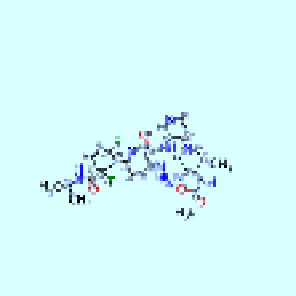 COC(=O)N[C@@H]1[C@H](N)CN(c2ccncc2NC(=O)c2nc(-c3c(F)ccc(C(=O)NC(C)C)c3F)ccc2N)C[C@@H]1C